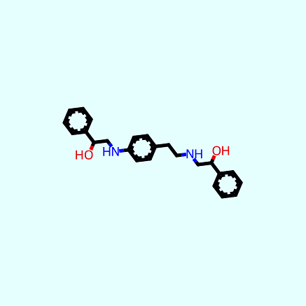 OC(CNCCc1ccc(NCC(O)c2ccccc2)cc1)c1ccccc1